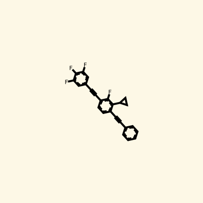 Fc1cc(C#Cc2ccc(C#Cc3ccccc3)c(C3CC3)c2F)cc(F)c1F